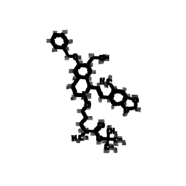 Cc1cc2c(cc1/C=C/C1c3cc(CO)c(OCc4ccccc4)cc3CCN1OCCCN(C)C(=O)OC(C)(C)C)OCO2